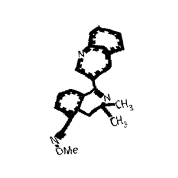 CO/N=C/c1cccc2c1CC(C)(C)N=C2c1cnc2ccccc2c1